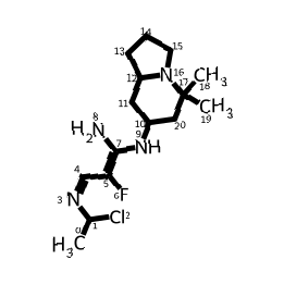 CC(Cl)/N=C\C(F)=C(/N)NC1CC2CCCN2C(C)(C)C1